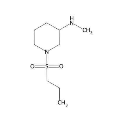 CCCS(=O)(=O)N1CCCC(NC)C1